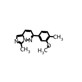 COc1cc(-c2ccc3cnc(C)n3n2)ccc1C